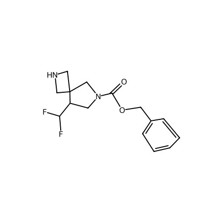 O=C(OCc1ccccc1)N1CC(C(F)F)C2(CNC2)C1